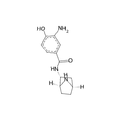 Nc1cc(C(=O)N[C@@H]2C[C@H]3CC[C@@H]2N3)ccc1O